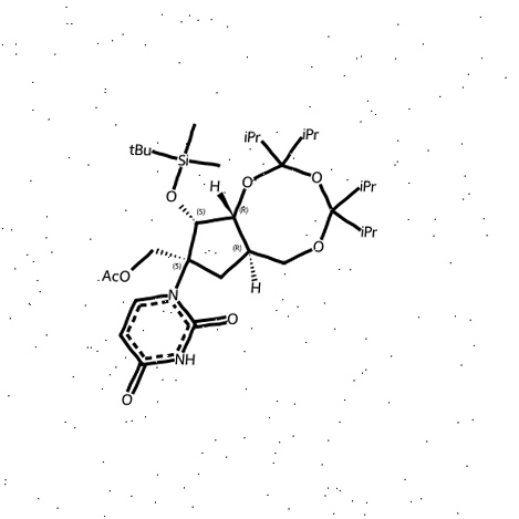 CC(=O)OC[C@@]1(n2ccc(=O)[nH]c2=O)C[C@@H]2COC(C(C)C)(C(C)C)OC(C(C)C)(C(C)C)O[C@H]2[C@H]1O[Si](C)(C)C(C)(C)C